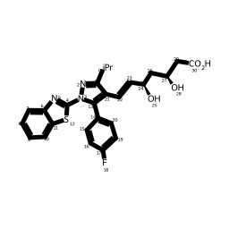 CC(C)c1nn(-c2nc3ccccc3s2)c(-c2ccc(F)cc2)c1/C=C/[C@H](O)C[C@H](O)CC(=O)O